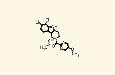 COc1cnc(C(=O)N2CCc3[nH]c4c(Cl)c(Cl)ccc4c3[C@H]2CSC)nc1